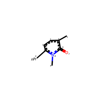 CCCc1ccc(C)c(=O)n1C